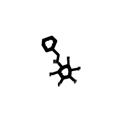 Fc1c(F)c(F)c(BCc2ccccc2)c(F)c1F